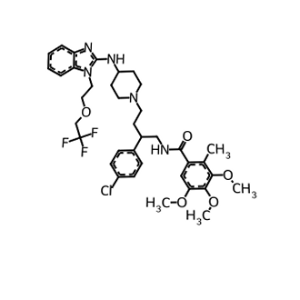 COc1cc(C(=O)NCC(CCN2CCC(Nc3nc4ccccc4n3CCOCC(F)(F)F)CC2)c2ccc(Cl)cc2)c(C)c(OC)c1OC